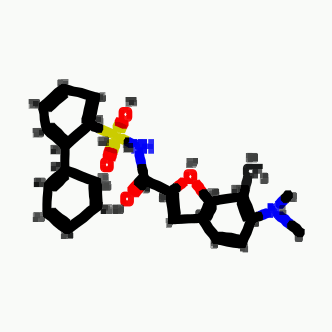 CN(C)c1ccc2cc(C(=O)NS(=O)(=O)c3ccccc3-c3ccccc3)oc2c1C(F)(F)F